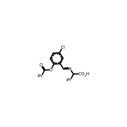 CC(C)C(=O)Oc1ccc(Cl)cc1C=NC(C(=O)O)C(C)C